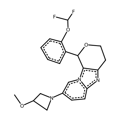 COC1CN(c2ccc3nc4c(n3c2)C(c2ccccc2OC(F)F)OCC4)C1